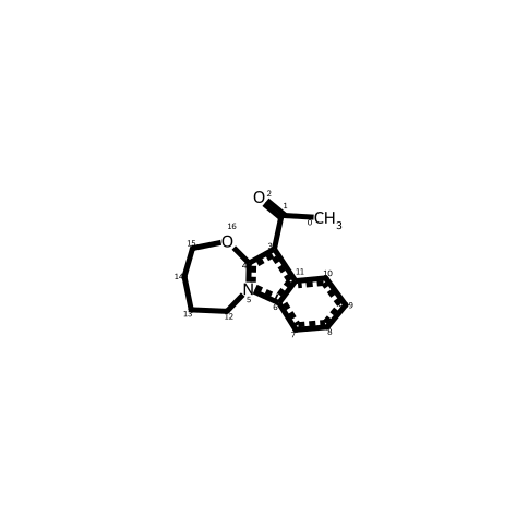 CC(=O)c1c2n(c3ccccc13)CCCCO2